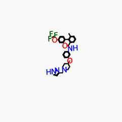 Cc1cccc(C(=O)Nc2cccc(OC3CCN(Cc4cc[nH]n4)CC3)c2)c1-c1ccc(OC(F)(F)F)cc1